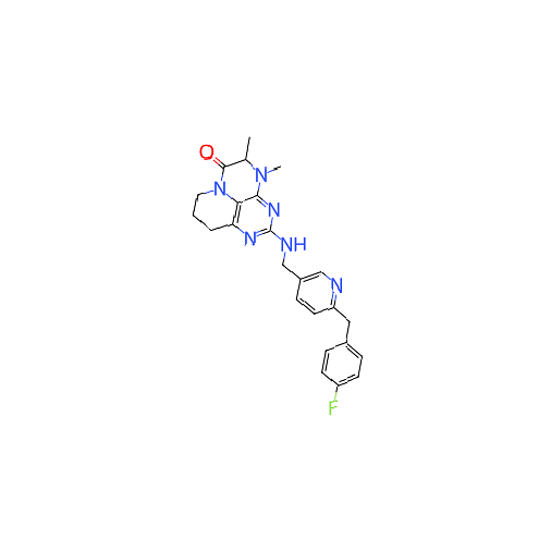 CC1C(=O)N2CCCc3nc(NCc4ccc(Cc5ccc(F)cc5)nc4)nc(c32)N1C